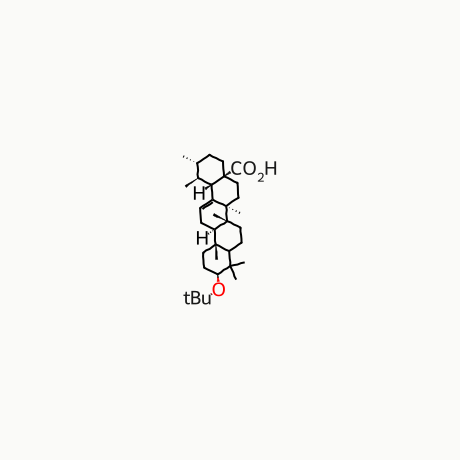 C[C@H]1[C@H](C)CC[C@]2(C(=O)O)CC[C@]3(C)C(=CC[C@@H]4[C@@]5(C)CC[C@H](OC(C)(C)C)C(C)(C)C5CC[C@]43C)[C@H]12